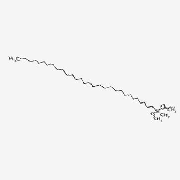 CCCCCCCCCCCCCCCCCCCCCCCCCCCCCC[Si](C)(OC)OC